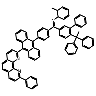 CC1C=CC=CC1/N=C(/c1ccc(-c2c3ccccc3c(-c3ccc4ccc5ccc(-c6ccccc6)nc5c4n3)c3ccccc23)cc1)c1ccc(C(C)(c2ccccc2)c2ccccc2)c(-c2ccccc2)c1